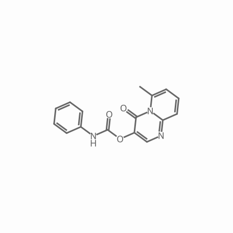 Cc1cccc2ncc(OC(=O)Nc3ccccc3)c(=O)n12